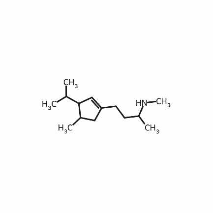 CNC(C)CCC1=CC(C(C)C)C(C)C1